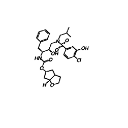 CC(C)CN(C[C@@H](O)[C@H](Cc1ccccc1)NC(=O)OC1CC2CCO[C@@H]2C1)S(=O)(=O)c1ccc(Cl)c(O)c1